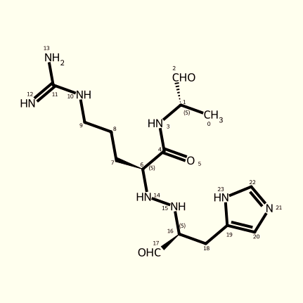 C[C@@H](C=O)NC(=O)[C@H](CCCNC(=N)N)NN[C@H](C=O)Cc1cnc[nH]1